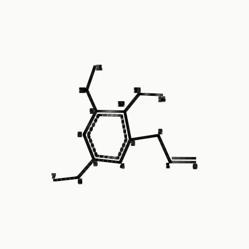 C=CCc1cc(CC)cc(CC)c1CC